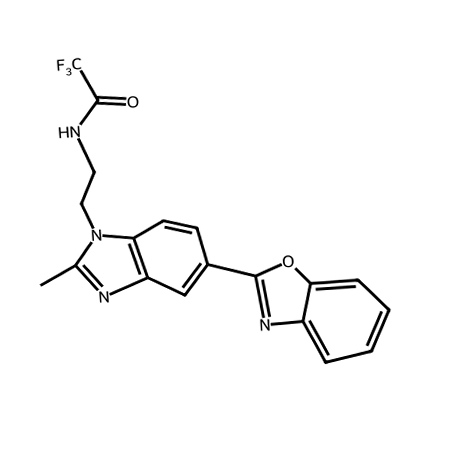 Cc1nc2cc(-c3nc4ccccc4o3)ccc2n1CCNC(=O)C(F)(F)F